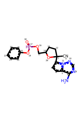 N#CC1(c2ccc3c(N)ncnn23)CCC(CO[PH](=O)Oc2ccccc2)O1